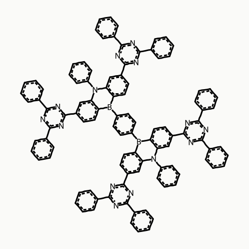 c1ccc(-c2nc(-c3ccccc3)nc(-c3ccc4c(c3)N(c3ccccc3)c3cc(-c5nc(-c6ccccc6)nc(-c6ccccc6)n5)ccc3B4c3ccc(B4c5ccc(-c6nc(-c7ccccc7)nc(-c7ccccc7)n6)cc5N(c5ccccc5)c5cc(-c6nc(-c7ccccc7)nc(-c7ccccc7)n6)ccc54)cc3)n2)cc1